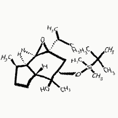 CC(C)[C@]12C[C@@H](O[Si](C)(C)C(C)(C)C)C(C)(O)[C@@H]3CC[C@@H](C)[C@H]3[C@H]1O2